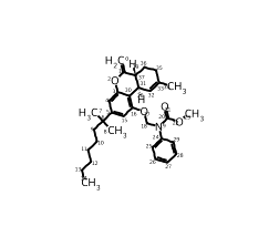 C=C1Oc2cc(C(C)(C)CCCCCC)cc(OCN(C(=O)OC)c3ccccc3)c2[C@@H]2C=C(C)CC[C@@H]12